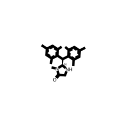 Cc1cc(C)c(C(c2c(C)cc(C)cc2C)[C@H]2NCC(=O)N2C)c(C)c1